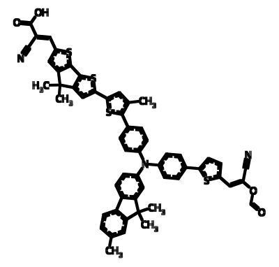 Cc1ccc2c(c1)C(C)(C)c1cc(N(c3ccc(-c4ccc(/C=C(\C#N)OC=O)s4)cc3)c3ccc(-c4sc(-c5cc6c(s5)-c5sc(/C=C(\C#N)C(=O)O)cc5C6(C)C)cc4C)cc3)ccc1-2